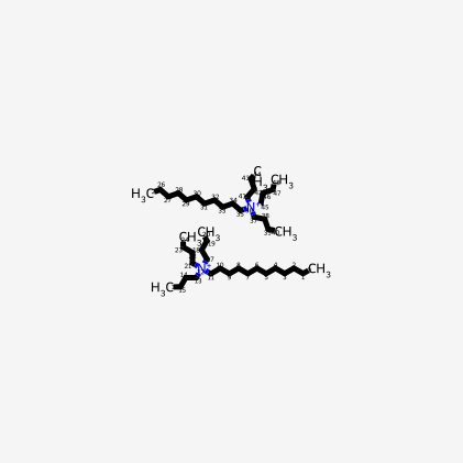 CCCCCCCCCCCC[N+](CCCC)(CCCC)CCCC.CCCCCCCCCCC[N+](CCCC)(CCCC)CCCC